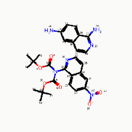 CC(C)(C)OC(=O)N(C(=O)OC(C)(C)C)c1nccc2cc([N+](=O)[O-])ccc12.Nc1ccc2c(N)nccc2c1